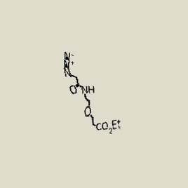 CCOC(=O)CCOCCNC(=O)CN=[N+]=[N-]